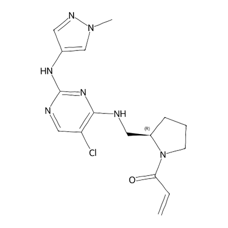 C=CC(=O)N1CCC[C@@H]1CNc1nc(Nc2cnn(C)c2)ncc1Cl